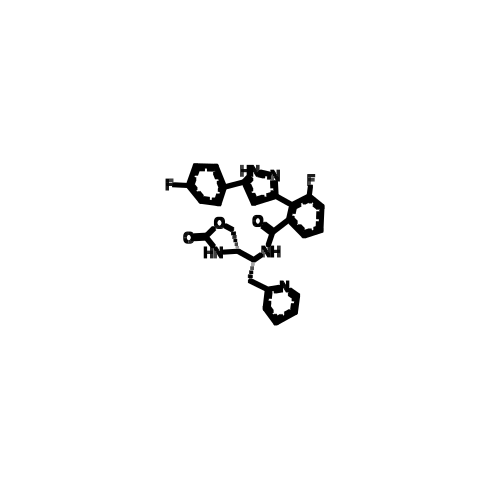 O=C1N[C@@H]([C@@H](Cc2ccccn2)NC(=O)c2cccc(F)c2-c2cc(-c3ccc(F)cc3)[nH]n2)CO1